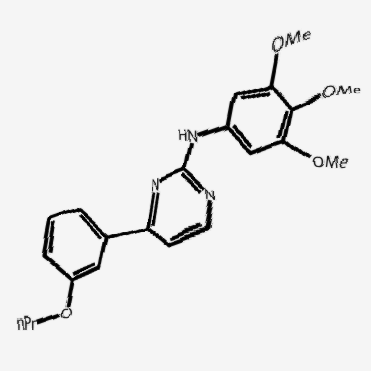 CCCOc1cccc(-c2ccnc(Nc3cc(OC)c(OC)c(OC)c3)n2)c1